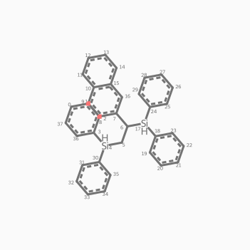 c1ccc([SiH](CC(c2ccc3ccccc3c2)[SiH](c2ccccc2)c2ccccc2)c2ccccc2)cc1